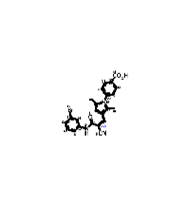 Cc1cc(/C=C(/C#N)C(=O)Nc2cccc(Br)c2)c(C)n1-c1ccc(C(=O)O)cc1